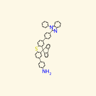 Nc1ccc(-c2ccc3c(c2)C2(c4cc(-c5ccc(-c6nc7ccccc7n6-c6ccccc6)cc5)ccc4S3)c3ccccc3-c3ccccc32)cc1